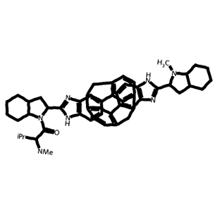 CNC(C(=O)N1C(c2nc3cc(-c4cc5ccc4CCc4ccc(c(-c6ccc7[nH]c(C8CC9CCCCC9N8C)nc7c6)c4)CC5)ccc3[nH]2)CC2CCCCC21)C(C)C